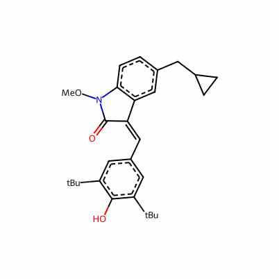 CON1C(=O)C(=Cc2cc(C(C)(C)C)c(O)c(C(C)(C)C)c2)c2cc(CC3CC3)ccc21